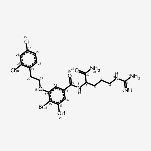 N=C(N)NCCCC(NC(=O)c1cc(O)c(Br)c(OCCc2ccc(Cl)cc2Cl)c1)C(N)=O